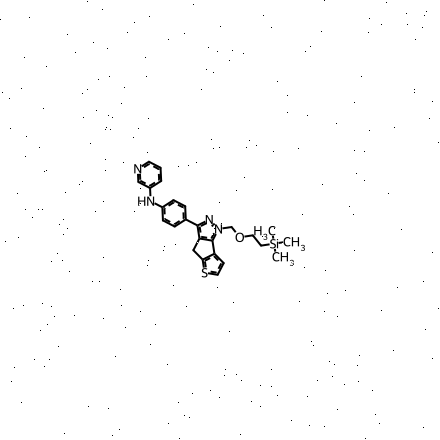 C[Si](C)(C)CCOCn1nc(-c2ccc(Nc3cccnc3)cc2)c2c1-c1ccsc1C2